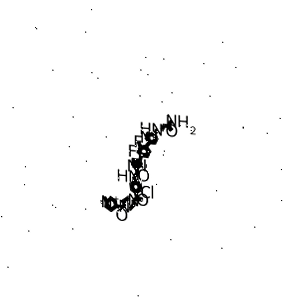 Cn1c(-c2ccc(-c3ccc(NCCC(N)=O)cn3)c(F)c2F)cnc1C(=O)Nc1ccc(C(=O)N2CCN(C(=O)C3CC[N+](C)(C)CC3)CC2)c(Cl)c1